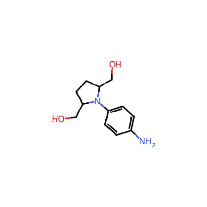 Nc1ccc(N2C(CO)CCC2CO)cc1